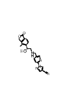 Cc1c(C(O)CNCc2ccc(-n3cc(C#N)cn3)nc2)ccc2c1COC2=O